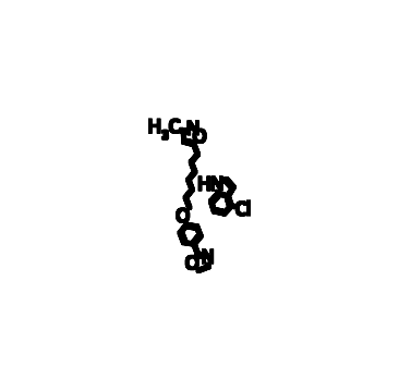 Cc1cc(CCCCCCCOc2ccc(C3=NCCO3)cc2)on1.Clc1cccc2[nH]ccc12